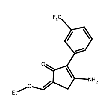 CCO/C=C1/CC(N)=C(c2cccc(C(F)(F)F)c2)C1=O